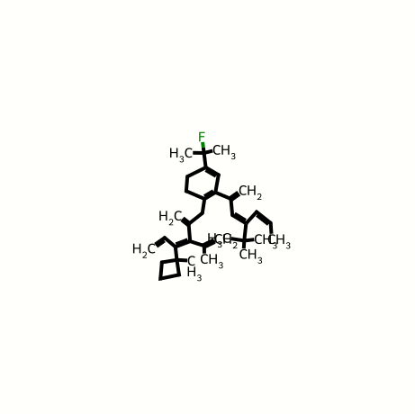 C=C/C(=C(/C(=C)C)C(=C)CC1=C(C(=C)/C=C(\C=C/C)C(C)(C)C)C=C(C(C)(C)F)CC1)C1(C)CCC1